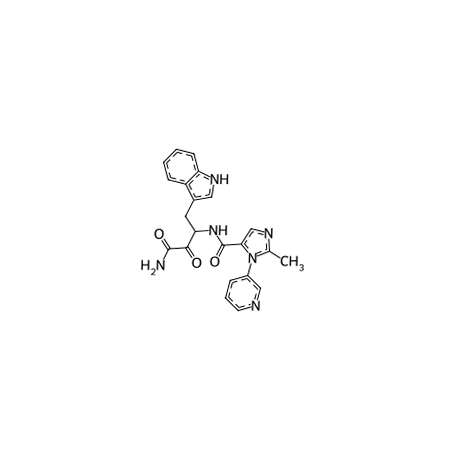 Cc1ncc(C(=O)NC(Cc2c[nH]c3ccccc23)C(=O)C(N)=O)n1-c1cccnc1